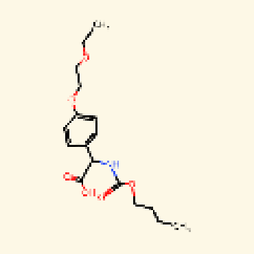 CCCCOC(=O)NC(C(=O)O)c1ccc(OCCOCC)cc1